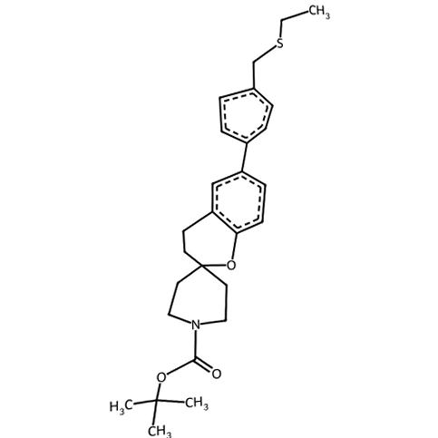 CCSCc1ccc(-c2ccc3c(c2)CCC2(CCN(C(=O)OC(C)(C)C)CC2)O3)cc1